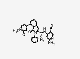 C[C@H](Nc1nc(N)ncc1C#N)c1cc2cccc(-c3ccn(C)c(=O)c3)c2c(=O)n1-c1ccccc1